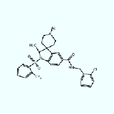 CC(=O)N1CCC2(CC1)c1cc(C(=O)NCc3ccccc3Cl)ccc1N(S(=O)(=O)c1ccccc1C(F)(F)F)C2C